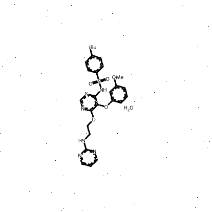 COc1cccc(Oc2c(NS(=O)(=O)c3ccc(C(C)(C)C)cc3)ncnc2OCCNc2ncccn2)c1.O